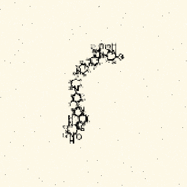 Cc1cc(N2CCC(CN3CCN(c4ccc5c(c4)n(C)c(=O)n5C4CCC(=O)NC4=O)CC3)CC2)ccc1-c1ccc2c(ccc3sc4c(c32)NC[C@@H](C)NC4=O)n1